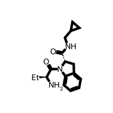 CC[C@H](N)C(=O)N1c2ccccc2C[C@H]1C(=O)NCC1CC1